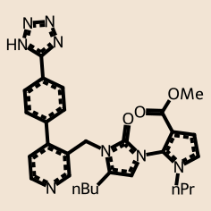 CCCCc1cn(-c2c(C(=O)OC)ccn2CCC)c(=O)n1Cc1cnccc1-c1ccc(-c2nnn[nH]2)cc1